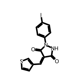 O=C1NN(c2ccc(I)cc2)C(=O)C1=Cc1ccsc1